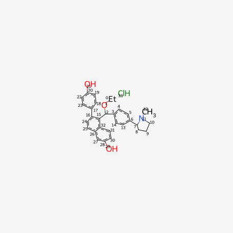 CCOC(c1ccc(C2CCCN2C)cc1)c1c(-c2ccc(O)cc2)ccc2cc(O)ccc12.Cl